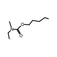 [CH2]CN(C)C(=O)OCCCCC